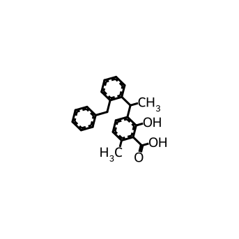 Cc1ccc(C(C)c2ccccc2Cc2ccccc2)c(O)c1C(=O)O